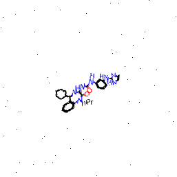 CCCN1C(=O)[C@H](NC(=O)Nc2cccc(Nc3ncc[nH]3)c2)N=C(C2CCCCC2)c2ccccc21